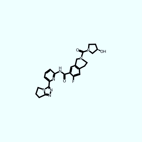 O=C(Nc1cccc(-c2nnc3n2CCC3)n1)c1cc2c(cc1F)CCN(C(=O)N1CC[C@@H](O)C1)C2